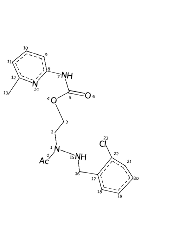 CC(=O)N(CCOC(=O)Nc1cccc(C)n1)NCc1ccccc1Cl